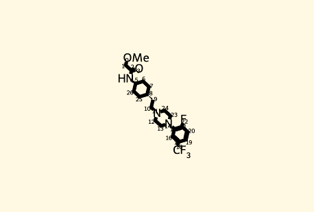 COCC(=O)N[C@H]1CC[C@H](CCN2CCN(c3cc(C(F)(F)F)ccc3F)CC2)CC1